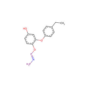 CCc1ccc(Oc2cc(O)ccc2OP=NP)cc1